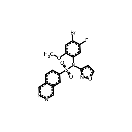 COc1cc(Br)c(F)cc1N(c1ccon1)S(=O)(=O)c1ccc2cnncc2c1